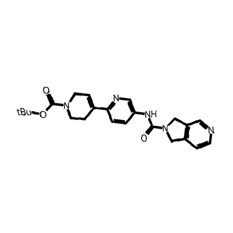 CC(C)(C)OC(=O)N1CC=C(c2ccc(NC(=O)N3Cc4ccncc4C3)cn2)CC1